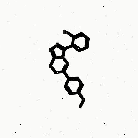 COc1ccc(C2=Nn3c(nnc3-c3ccccc3Br)SC2)cc1